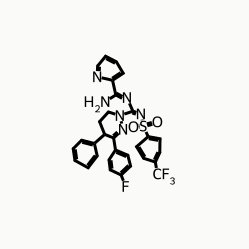 N/C(=N\C(=N\S(=O)(=O)c1ccc(C(F)(F)F)cc1)N1CCC(c2ccccc2)C(c2ccc(F)cc2)=N1)c1ccccn1